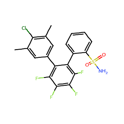 Cc1cc(-c2c(F)c(F)c(F)c(F)c2-c2ccccc2S(N)(=O)=O)cc(C)c1Cl